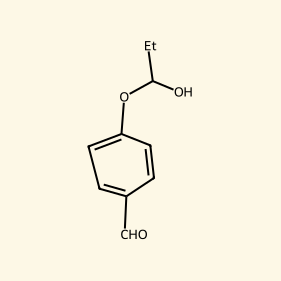 CCC(O)Oc1ccc(C=O)cc1